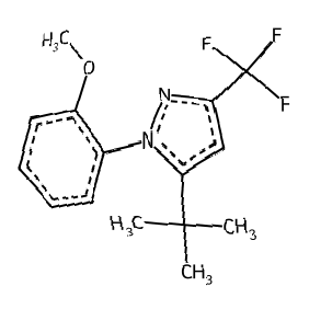 COc1ccccc1-n1nc(C(F)(F)F)cc1C(C)(C)C